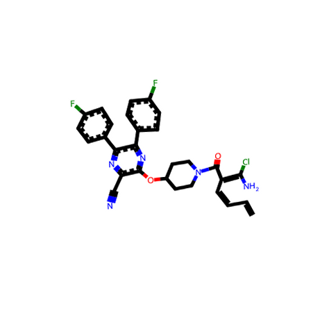 C=C/C=C\C(C(=O)N1CCC(Oc2nc(-c3ccc(F)cc3)c(-c3ccc(F)cc3)nc2C#N)CC1)=C(/N)Cl